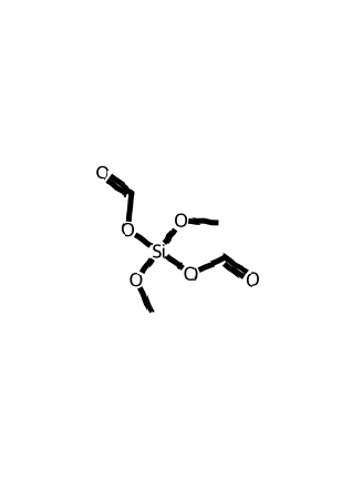 CO[Si](OC)(OC=O)OC=O